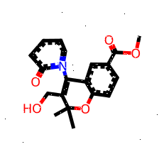 COC(=O)c1ccc2c(c1)C(n1ccccc1=O)=C(CO)C(C)(C)O2